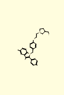 Cc1c(-c2ccc(O)cc2)n(Cc2ccc(OCCN3CCC(CF)C3)cc2)c2ccc(O)cc12